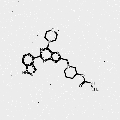 CNC(=O)OC1CCCN(Cc2cc3nc(-c4cccc5[nH]ncc45)nc(N4CCOCC4)c3s2)C1